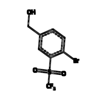 O=S(=O)(c1cc(CO)ccc1Br)C(F)(F)F